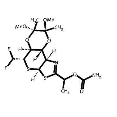 CO[C@@]1(C)O[C@@H]2[C@H]3N=C(C(C)OC(N)=O)S[C@H]3S[C@H](C(F)F)[C@H]2O[C@]1(C)OC